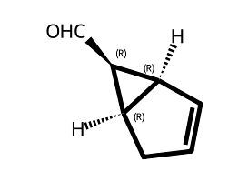 O=C[C@H]1[C@H]2C=CC[C@H]21